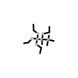 CCO[Si](OCC)(OCC)[Si](C)(OCC)[Si](C)(C)C